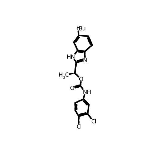 C[C@H](OC(=O)Nc1ccc(Cl)c(Cl)c1)c1nc2ccc(C(C)(C)C)cc2[nH]1